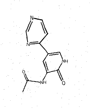 CC(=O)Nc1cc(-c2ccncn2)c[nH]c1=O